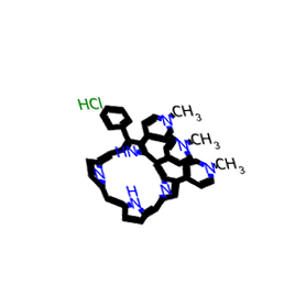 CN1C=CC(C2=Cc3cc4ccc(cc5nc(cc6[nH]c(c(C7=CCN(C)C=C7)c2n3)c(C2=CCN(C)C=C2)c6-c2ccccc2)C=C5)[nH]4)=CC1.Cl